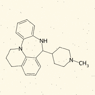 CN1CCC(C2Nc3ccccc3N3CCCc4cccc2c43)CC1